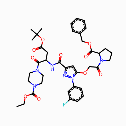 CCOC(=O)N1CCN(C(=O)C(CC(=O)OC(C)(C)C)NC(=O)c2cc(OCC(=O)N3CCCC3C(=O)OCc3ccccc3)n(-c3cccc(F)c3)n2)CC1